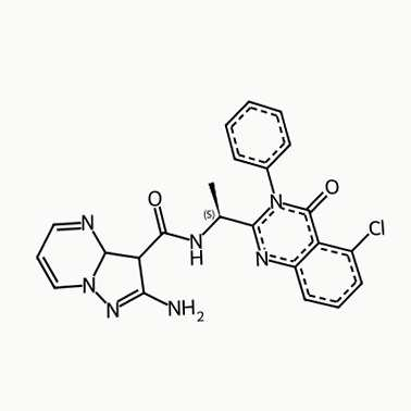 C[C@H](NC(=O)C1C(N)=NN2C=CC=NC12)c1nc2cccc(Cl)c2c(=O)n1-c1ccccc1